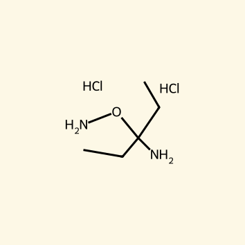 CCC(N)(CC)ON.Cl.Cl